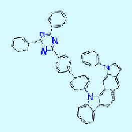 c1ccc(-c2nc(-c3ccccc3)nc(-c3ccc(-c4ccc(-n5c6ccccc6c6ccc7cc8ccn(-c9ccccc9)c8cc7c65)cc4)cc3)n2)cc1